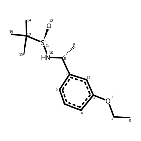 CCOc1cccc([C@@H](C)N[S@+]([O-])C(C)(C)C)c1